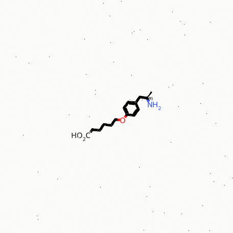 C[C@@H](N)Cc1ccc(OCCCCCC(=O)O)cc1